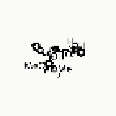 COc1cc([C@@H](O)[C@H](CC2Cc3ccccc3C2)Cn2ccc(CCC(=O)NS(=O)(=O)c3ccccc3Cl)c2)cc(OC)c1C